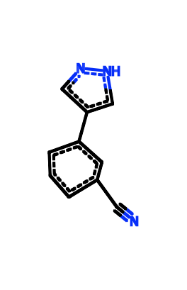 N#Cc1cccc(-c2cn[nH]c2)c1